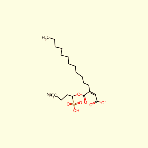 CCCCCCCCCCCCC(=CC(=O)[O-])C(=O)OC(CCC)S(=O)(=O)O.[Na+]